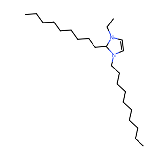 CCCCCCCCCCN1C=CN(CC)C1CCCCCCCCC